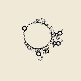 COc1ccc(C[C@@H]2NC(=O)[C@H](Cc3ncc[nH]3)NC(=O)CN(C)C(=O)[C@H](Cc3cn(I)c4ccc(F)cc34)NC(=O)[C@H](Cc3cn(C)c4ccc(F)cc34)NC(=O)CNC(=O)[C@H](C)NC(=O)CCSCc3cccc(c3)CSCCN(I)C(=O)C3CCCN3C2=O)cc1